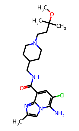 COC(C)(C)CCN1CCC(CNC(=O)c2cc(Cl)c(N)n3cc(C)nc23)CC1